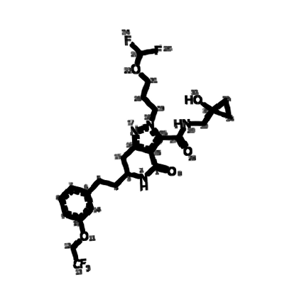 O=C1NC(CCc2cccc(OCC(F)(F)F)c2)Cc2nn(CCCOC(F)F)c(C(=O)NCC3(O)CC3)c21